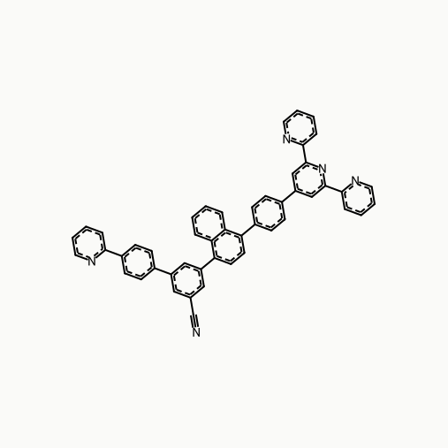 N#Cc1cc(-c2ccc(-c3ccccn3)cc2)cc(-c2ccc(-c3ccc(-c4cc(-c5ccccn5)nc(-c5ccccn5)c4)cc3)c3ccccc23)c1